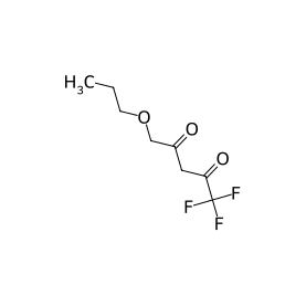 CCCOCC(=O)CC(=O)C(F)(F)F